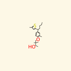 CCCCC(c1ccc(OCC(C)(C)C(C)O)c(C)c1)c1cc(C)cs1